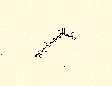 C=CC(=O)OCCNC(=O)SCCSCCSC(=O)NC/C=C/C(=O)OC